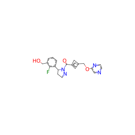 O=C(N1N=CCC1c1cccc(CO)c1F)C12CC(COc3cnccn3)(C1)C2